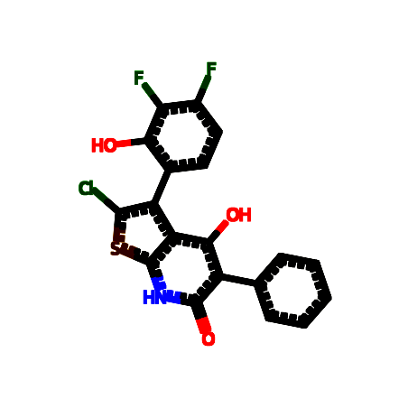 O=c1[nH]c2sc(Cl)c(-c3ccc(F)c(F)c3O)c2c(O)c1-c1ccccc1